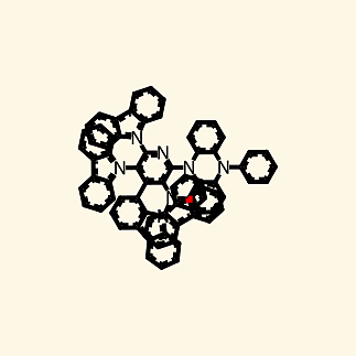 c1ccc(N2c3ccccc3N(c3nc(-n4c5ccccc5c5ccccc54)c(-n4c5ccccc5c5ccccc54)c(-c4cccc5c6ccccc6n(-c6ccccc6)c45)c3-n3c4ccccc4c4ccccc43)c3ccccc32)cc1